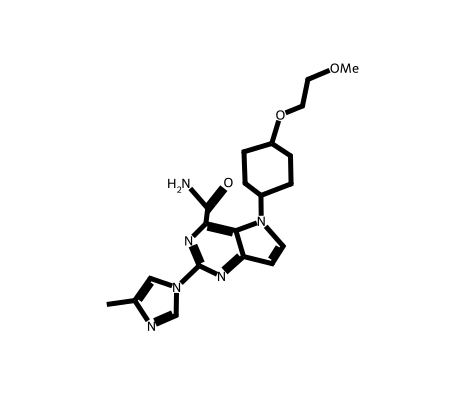 COCCOC1CCC(n2ccc3nc(-n4cnc(C)c4)nc(C(N)=O)c32)CC1